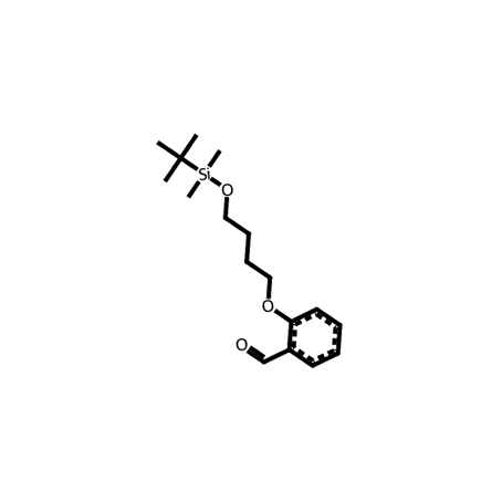 CC(C)(C)[Si](C)(C)OCCCCOc1ccccc1C=O